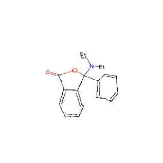 CCN(CC)C1(c2ccccc2)OC(=O)c2ccccc21